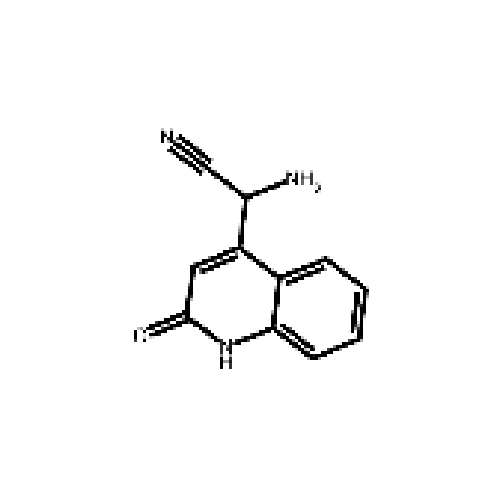 N#CC(N)c1cc(=O)[nH]c2ccccc12